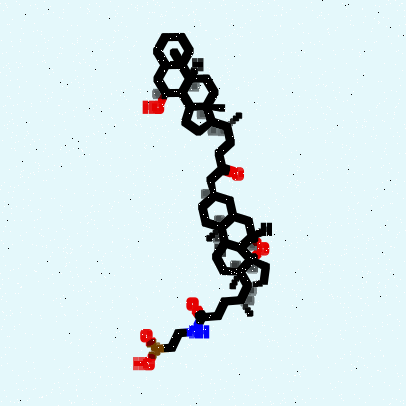 C[C@H](CCC(=O)C[C@@H]1CC[C@@]2(C)C(C1)C[C@@H]1O[C@]34CC[C@H]([C@H](C)CCC(=O)NCCS(=O)O)[C@@]3(C)CC[C@@H]2C14)[C@H]1CCC2C3[C@@H](CC[C@@]21C)C1(C)CCCCC1C[C@@H]3O